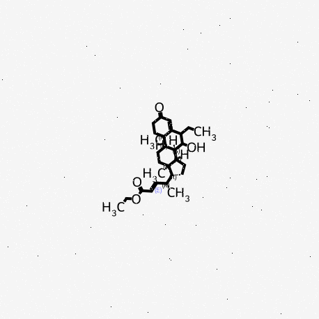 CCOC(=O)/C=C/[C@@H](C)[C@H]1CC[C@H]2[C@@H]3C(O)C(CC)C4=CC(=O)CC[C@]4(C)[C@H]3CC[C@]12C